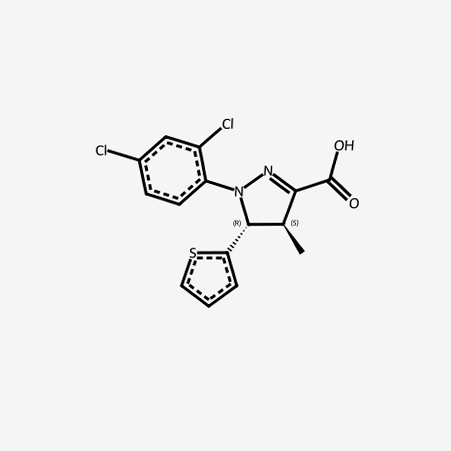 C[C@@H]1C(C(=O)O)=NN(c2ccc(Cl)cc2Cl)[C@H]1c1cccs1